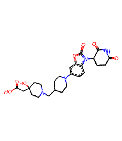 O=C(O)CC1(O)CCN(CC2CCN(c3ccc4c(c3)oc(=O)n4C3CCC(=O)NC3=O)CC2)CC1